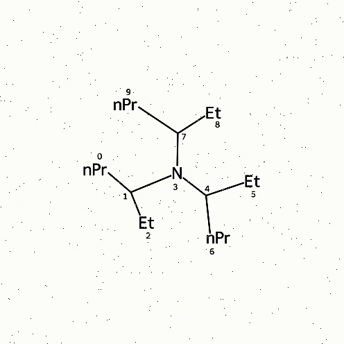 CCCC(CC)N(C(CC)CCC)C(CC)CCC